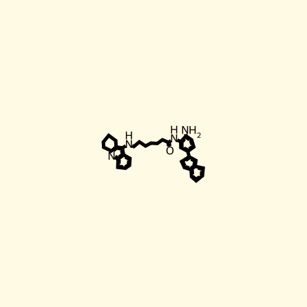 Nc1ccc(-c2ccc3ccccc3c2)cc1NC(=O)CCCCCCNc1c2c(nc3ccccc13)CCCC2